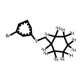 [2H]C1([2H])C([2H])([2H])C([2H])([2H])C([2H])(CSc2cccc(Br)c2)C([2H])([2H])C1([2H])[2H]